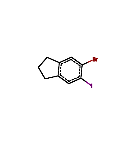 Brc1cc2c(cc1I)CCC2